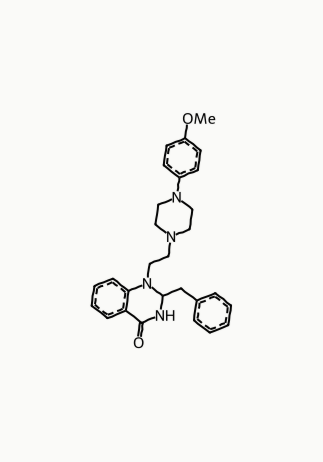 COc1ccc(N2CCN(CCN3c4ccccc4C(=O)NC3Cc3ccccc3)CC2)cc1